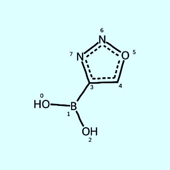 OB(O)c1conn1